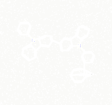 C1=CC2C3C=CC1C=C(c1cccc(-n4c5ccccc5c5cc(-c6ccc7c(c6)c6ccccc6n7-c6ccccc6)ccc54)c1)C23